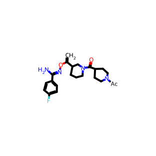 C=C(O/N=C(\N)c1ccc(F)cc1)C1CCCN(C(=O)C2CCN(C(C)=O)CC2)C1